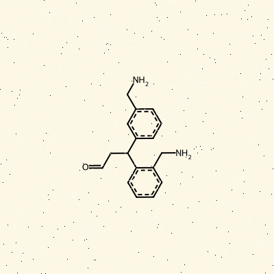 NCc1cccc(C(CC=O)c2ccccc2CN)c1